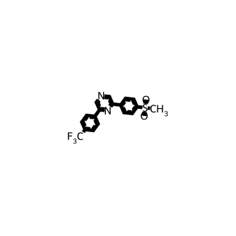 CS(=O)(=O)c1ccc(-c2cncc(-c3ccc(C(F)(F)F)cc3)n2)cc1